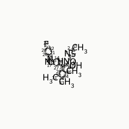 Cc1cnc(C(=O)N[C@H](CO)[C@H](c2ccc3c(cnn3-c3ccc(F)cc3)c2)c2cc(C)c(C)cc2C)s1